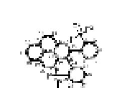 FC(F)(F)c1ccccc1-c1cc2ccc3cccc4ccc(c1-c1ccccc1C(F)(F)F)c2c34